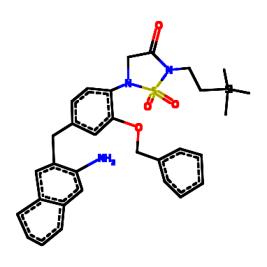 C[Si](C)(C)CCN1C(=O)CN(c2ccc(Cc3cc4ccccc4cc3N)cc2OCc2ccccc2)S1(=O)=O